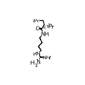 CC(C)C[C@@H](C(=O)NCCCCNC(=N)N)C(C)C